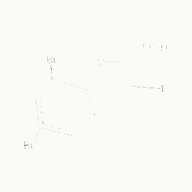 O=C(O)[C@H](CF)Oc1ccc(Br)cc1Br